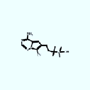 CC(C)(CCc1cc2c(N)ncnn2c1C#N)[Si](C)(C)O